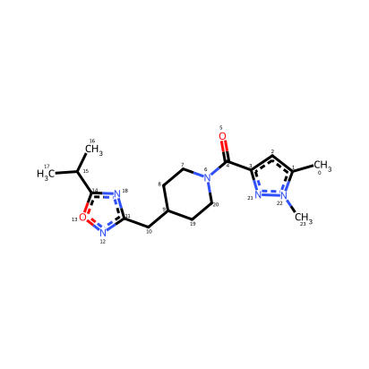 Cc1cc(C(=O)N2CCC(Cc3noc(C(C)C)n3)CC2)nn1C